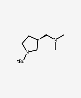 CN(C)C[C@@H]1CCN(C(C)(C)C)C1